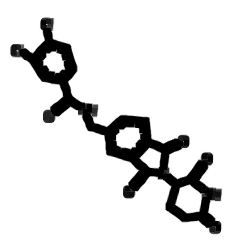 O=C1CCC(N2C(=O)c3ccc(CNC(=O)c4ccc(Cl)c(Cl)c4)cc3C2=O)C(=O)N1